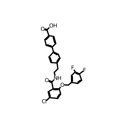 O=C(O)c1ccc(-c2ccc(CCNC(=O)c3cc(Cl)ccc3OCc3ccc(F)c(F)c3)cc2)cc1